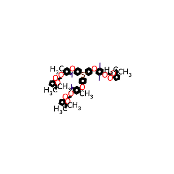 Cc1cc(Oc2ccc([S+](c3ccc(Oc4cc(I)c(OCC(=O)OC5(C(C)C)CCCC5)cc4C)cc3)c3ccc(Oc4cc(I)c(OCC(=O)OC5(C(C)C)CCCC5)cc4I)cc3)cc2)c(I)cc1OCC(=O)OC1(C(C)C)CCCC1